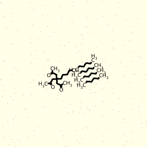 CCCCCC.CCCCCC.CCCCCC.CCCCCC.CCCCCC(CC(C)=O)(CC(C)=O)CC(C)=O